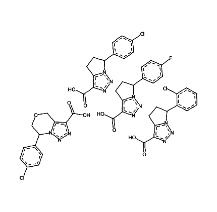 O=C(O)c1nnn2c1CCC2c1ccc(Cl)cc1.O=C(O)c1nnn2c1CCC2c1ccc(F)cc1.O=C(O)c1nnn2c1CCC2c1ccccc1Cl.O=C(O)c1nnn2c1COCC2c1ccc(Cl)cc1